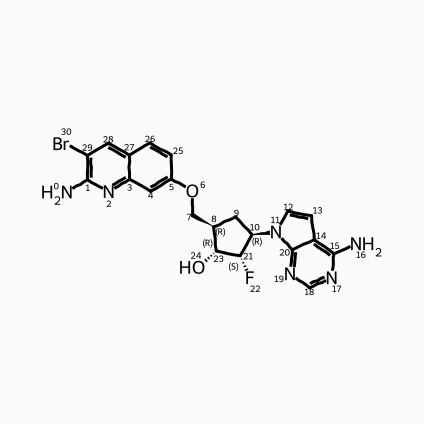 Nc1nc2cc(OC[C@H]3C[C@@H](n4ccc5c(N)ncnc54)[C@H](F)[C@@H]3O)ccc2cc1Br